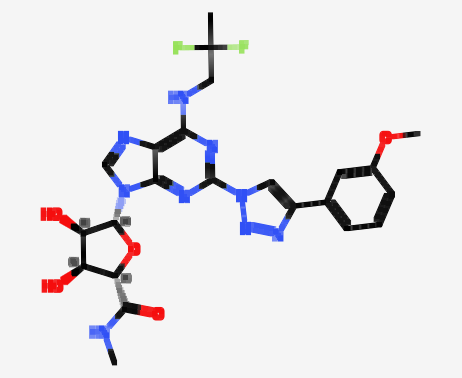 CNC(=O)[C@H]1O[C@@H](n2cnc3c(NCC(C)(F)F)nc(-n4cc(-c5cccc(OC)c5)nn4)nc32)[C@H](O)[C@@H]1O